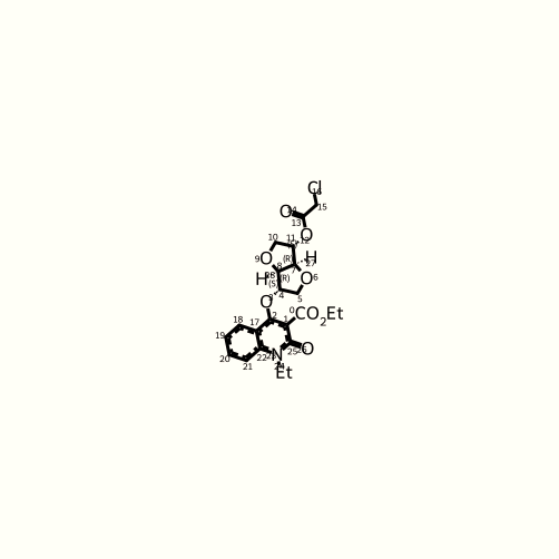 CCOC(=O)c1c(O[C@H]2CO[C@H]3[C@@H]2OC[C@@H]3OC(=O)CCl)c2ccccc2n(CC)c1=O